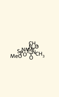 CNP(=S)(OC)Oc1cn(C)c(=O)n(C)c1=O